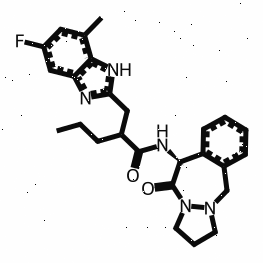 CCCC(Cc1nc2cc(F)cc(C)c2[nH]1)C(=O)N[C@@H]1C(=O)N2CCCN2Cc2ccccc21